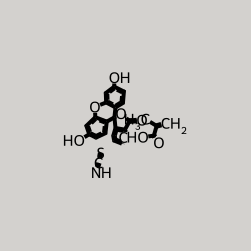 C=C(C)C(=O)O.N=C=S.O=C1OC2(c3ccc(O)cc3Oc3cc(O)ccc32)c2ccccc21